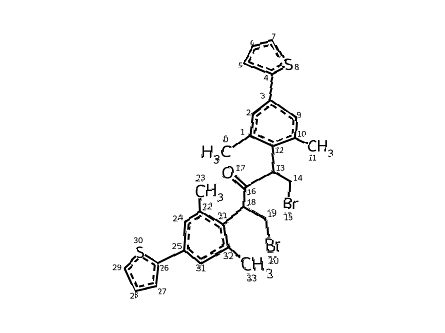 Cc1cc(-c2cccs2)cc(C)c1C(CBr)C(=O)C(CBr)c1c(C)cc(-c2cccs2)cc1C